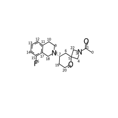 CC(=O)N1CC2(C[C@@H](N3CCc4cccc(F)c4C3)CCO2)C1